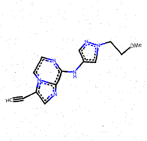 C#Cc1cnc2c(Nc3cnn(CCOC)c3)nccn12